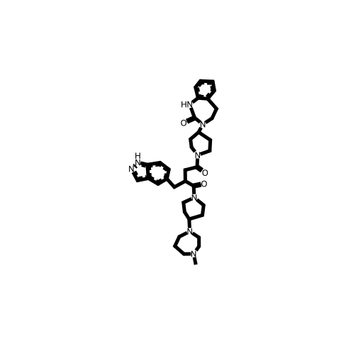 CN1CCCN(C2CCN(C(=O)C(CC(=O)N3CCC(N4CCc5ccccc5NC4=O)CC3)Cc3ccc4[nH]ncc4c3)CC2)CC1